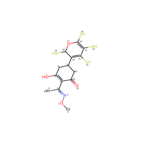 CCCC(=NOCC)C1=C(O)CC(C2=C(S)C(S)=C(S)OC2S)CC1=O